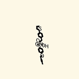 CC#CCOc1ccc([S+]([O-])N(O)C(=O)Cc2ccc(-c3cccs3)cc2)cc1